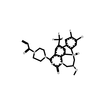 C=CC(=O)N1CCN(c2nc(=O)n3c4c(cc(C(F)(F)F)cc24)[SH](=O)(c2cc(Cl)c(F)cc2F)C[C@@H](OC)C3)CC1